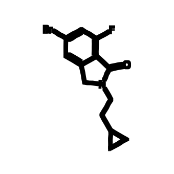 O=C1c2c(F)cc(Br)cc2CN1CCC1CC1